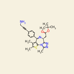 Cc1sc2c(c1C)C(c1ccc(C#CCN)cc1)=N[C@@H](CC(=O)OC(C)(C)C)c1nnc(C)n1-2